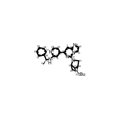 C[C@H](Nc1cc(-c2cc3nccn3c(N3CC4CC3CN4C(C)(C)C)n2)ccn1)c1ccccc1